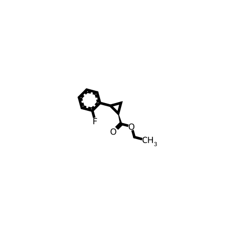 CCOC(=O)[C@@H]1CC1c1ccccc1F